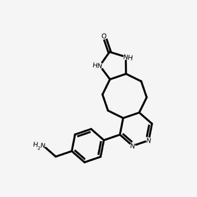 NCc1ccc(C2=NN=CC3CCC4NC(=O)NC4CCC23)cc1